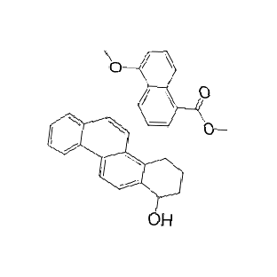 COC(=O)c1cccc2c(OC)cccc12.OC1CCCc2c1ccc1c2ccc2ccccc21